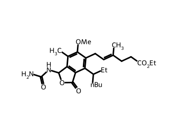 CCCCC(CC)c1c(C/C=C(\C)CCC(=O)OCC)c(OC)c(C)c2c1C(=O)OC2NC(N)=O